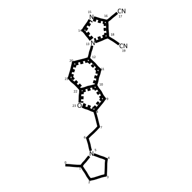 CC1CCCN1CCc1cc2cc(-n3cnc(C#N)c3C#N)ccc2o1